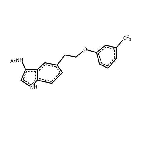 CC(=O)Nc1c[nH]c2ccc(CCOc3cccc(C(F)(F)F)c3)cc12